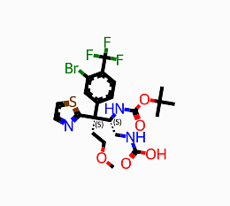 COCC[C@@](c1ccc(C(F)(F)F)c(Br)c1)(c1nccs1)[C@@H](CNC(=O)O)NC(=O)OC(C)(C)C